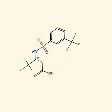 O=C(O)C[C@@H](NS(=O)(=O)c1cccc(C(F)(F)F)c1)C(F)(F)F